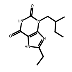 CCc1nc2c([nH]1)c(=O)[nH]c(=O)n2CC(C)CC